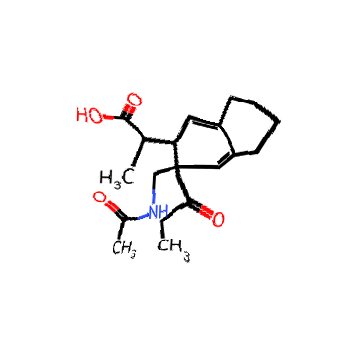 CCC(=O)C1(CNC(C)=O)C=C2CCCCC2=CC1C(C)C(=O)O